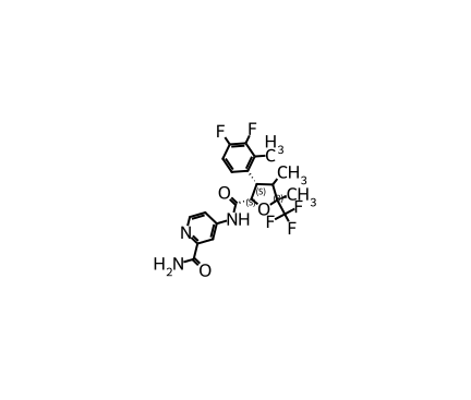 Cc1c([C@@H]2C(C)[C@](C)(C(F)(F)F)O[C@@H]2C(=O)Nc2ccnc(C(N)=O)c2)ccc(F)c1F